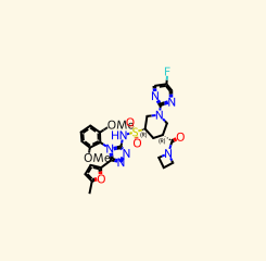 COc1cccc(OC)c1-n1c(NS(=O)(=O)[C@@H]2C[C@@H](C(=O)N3CCC3)CN(c3ncc(F)cn3)C2)nnc1-c1ccc(C)o1